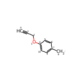 C#CCOc1ccc([CH2])cc1